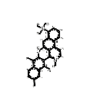 Cc1ccc2c(C)c3c(c(C)c2c1)-c1c2c(cc4c([Si](C)(C)C)cccc4c2cc[n+]1C)O3